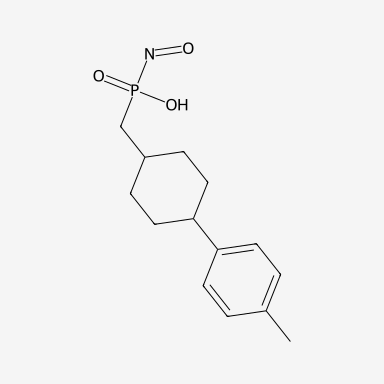 Cc1ccc(C2CCC(CP(=O)(O)N=O)CC2)cc1